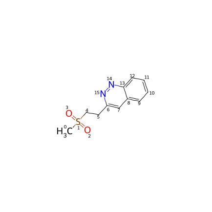 CS(=O)(=O)CCc1cc2ccccc2nn1